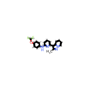 Cc1nn2ccccc2c1-c1cccc(Nc2ccc(OC(F)F)cc2)n1